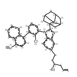 C=CCC(CC)CCc1ccc2c(c1)nc(C13CC4CC(CC(C4)C1)C3)n2-c1cccc(-c2ccc(C(C)(C)C)c3ccccc23)c1Cl